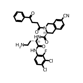 N#Cc1ccc2c(c1)CN(C(=O)CCC(=O)c1ccccc1)[C@H](C(=O)N[C@@H](CCN)C(=O)Nc1ccc(Cl)c(Cl)c1F)C2